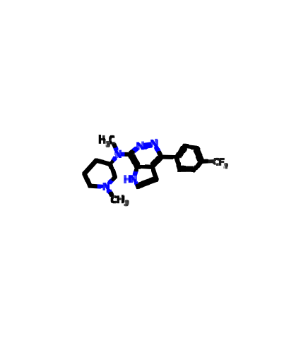 CN1CCC[C@@H](N(C)c2nnc(-c3ccc(C(F)(F)F)cc3)c3cc[nH]c23)C1